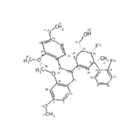 COc1ccc(CN(Cc2ccc(OC)cc2OC)C2=N[C@](C)(c3ccccc3F)[C@@H](F)[C@@H](CO)O2)c(OC)c1